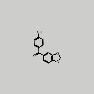 O=C(c1ccc(O)cc1)c1ccc2c(c1)OCO2